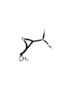 CC(=O)N(I)C1OC1C